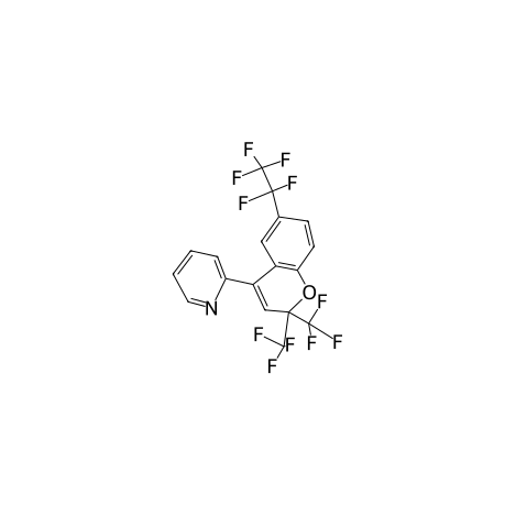 FC(F)(F)C(F)(F)c1ccc2c(c1)C(c1ccccn1)=CC(C(F)(F)F)(C(F)(F)F)O2